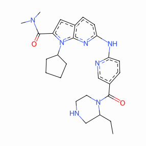 CCC1CNCCN1C(=O)c1ccc(Nc2ccc3cc(C(=O)N(C)C)n(C4CCCC4)c3n2)nc1